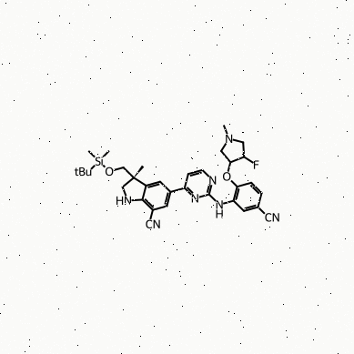 CN1CC(F)C(Oc2ccc(C#N)cc2Nc2nccc(-c3cc(C#N)c4c(c3)[C@@](C)(CO[Si](C)(C)C(C)(C)C)CN4)n2)C1